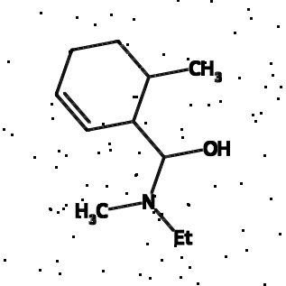 CCN(C)C(O)C1C=CCCC1C